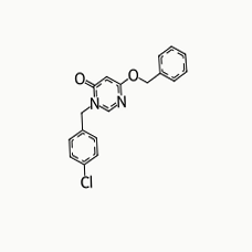 O=c1cc(OCc2ccccc2)ncn1Cc1ccc(Cl)cc1